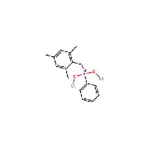 CCO[PH](Cc1c(C)cc(C)cc1C)(OCC)c1ccccc1